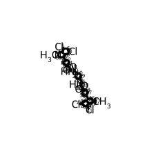 CN1Cc2c(Cl)cc(Cl)cc2C(c2ccc(S(=O)(=O)NCc3ccc(CNS(=O)(=O)c4ccc(C5CN(C)Cc6c(Cl)cc(Cl)cc65)cc4)cc3)cc2)C1